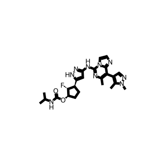 Cc1nc(Nc2cc([C@H]3CC[C@@H](OC(=O)NC(C)C)[C@@H]3F)[nH]n2)n2ccnc2c1-c1cnn(C)c1C